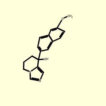 COc1ccc2cc(C3(O)CCCn4cncc43)ccc2c1